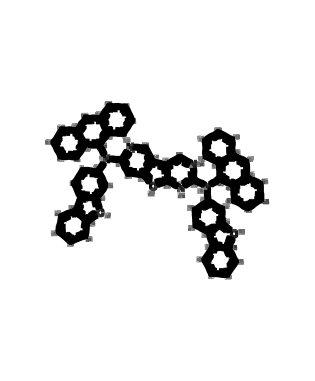 c1ccc2c(N(c3ccc4c(c3)oc3ccccc34)c3cc4oc5nc(N(c6ccc7c(c6)oc6ccccc67)c6c7ccccc7cc7ccccc67)ncc5c4cn3)c3ccccc3cc2c1